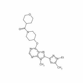 CCn1nc(-c2nc3c(OC4CCN(C(=O)C5CCOCC5)CC4)ncnc3n2C)cc1C